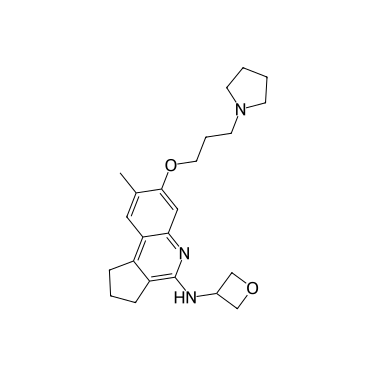 Cc1cc2c3c(c(NC4COC4)nc2cc1OCCCN1CCCC1)CCC3